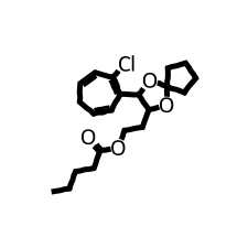 CCCCC(=O)OCCC1OC2(CCCC2)OC1C1=C(Cl)C=CCC=C1